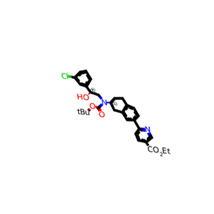 CCOC(=O)c1ccc(-c2ccc3c(c2)C[C@@H](N(C[C@H](O)c2cccc(Cl)c2)C(=O)OC(C)(C)C)CC3)nc1